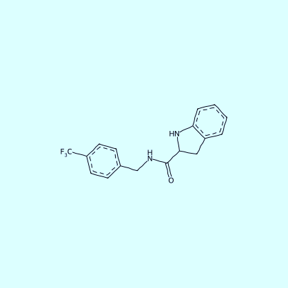 O=C(NCc1ccc(C(F)(F)F)cc1)C1Cc2ccccc2N1